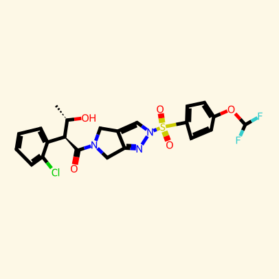 C[C@H](O)[C@@H](C(=O)N1Cc2cn(S(=O)(=O)c3ccc(OC(F)F)cc3)nc2C1)c1ccccc1Cl